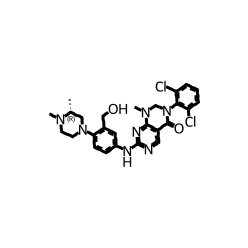 C[C@@H]1CN(c2ccc(Nc3ncc4c(n3)N(C)CN(c3c(Cl)cccc3Cl)C4=O)cc2CO)CCN1C